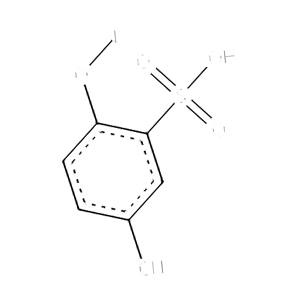 Cc1ccc(OI)c(S(=O)(=O)O)c1